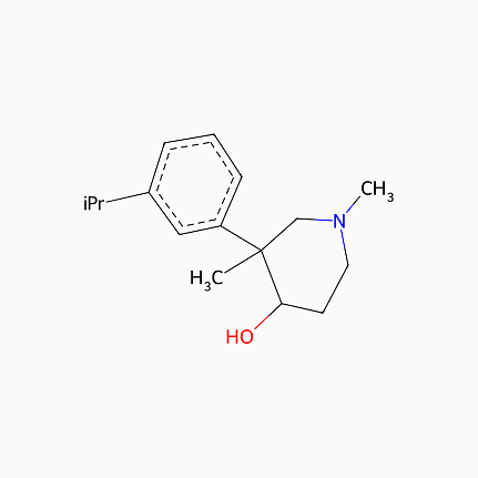 CC(C)c1cccc(C2(C)CN(C)CCC2O)c1